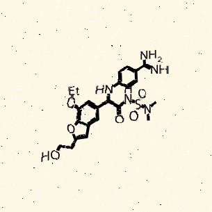 CCOc1cc(C(Nc2ccc(C(=N)N)cc2)C(=O)NS(=O)(=O)N(C)C)cc2cc(CCO)oc12